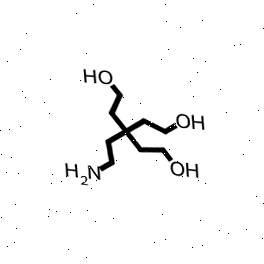 NCCC(CCO)(CCO)CCO